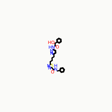 O=C(NCc1ccccc1)c1nnc(CCCCc2ccc(NC(=O)C(O)c3ccccc3)nn2)s1